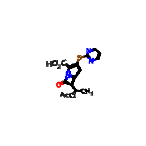 CC(=O)OC(C)C1C(=O)N2C(C(=O)O)=C(Sc3ncccn3)CC12